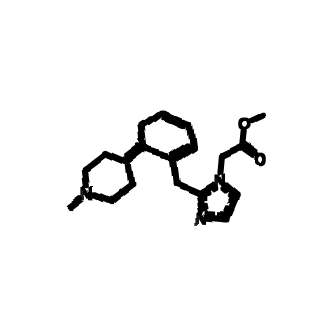 COC(=O)Cn1ccnc1CC1=CC=CCC1=C1CCN(C)CC1